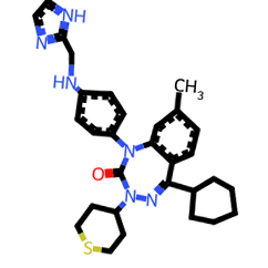 Cc1ccc2c(c1)N(c1ccc(NCc3ncc[nH]3)cc1)C(=O)N(C1CCSCC1)N=C2C1CCCCC1